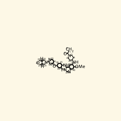 C=CC(=O)N1CCC(Nc2cc3c(Nc4ccc(Oc5ccnc(N6C[C@H]7COC[C@H]7C6)n5)cc4F)ncnc3cc2OC)CC1